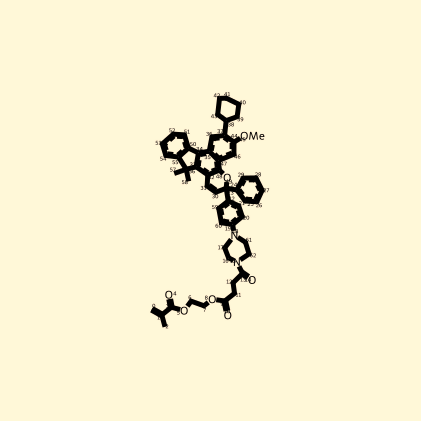 C=C(C)C(=O)OCCOC(=O)CCC(=O)N1CCN(c2ccc(C3(c4ccccc4)C=Cc4c5c(c6cc(C7CCCCC7)c(OC)cc6c4O3)-c3ccccc3C5(C)C)cc2)CC1